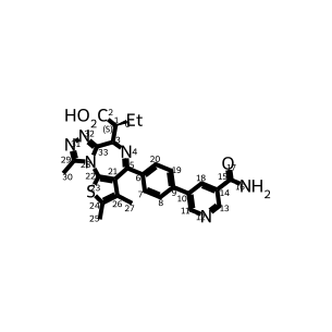 CC[C@H](C(=O)O)C1N=C(c2ccc(-c3cncc(C(N)=O)c3)cc2)c2c(sc(C)c2C)-n2c(C)nnc21